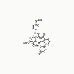 CCN1CCN(c2cccc3c2C(=O)N([C@H](CCC/C=C\C(=O)OC(C)(C)C)c2ccc(OC)c(OC)c2)C3=O)CC1